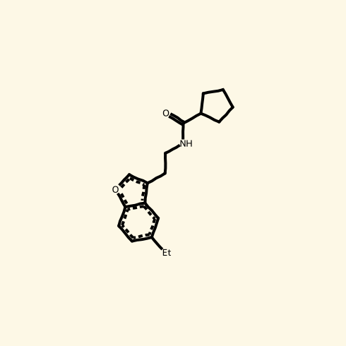 CCc1ccc2occ(CCNC(=O)C3CCCC3)c2c1